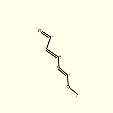 COC=CC=CC=O